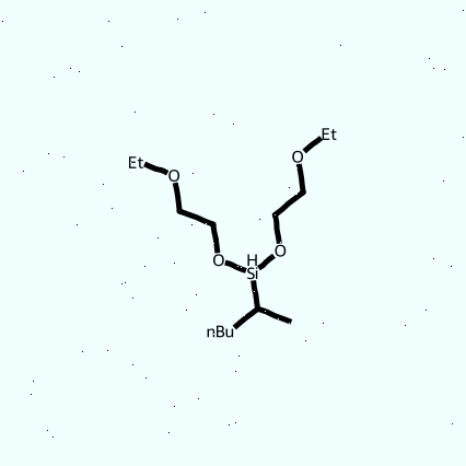 CCCCC(C)[SiH](OCCOCC)OCCOCC